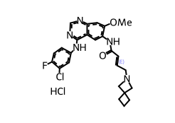 COc1cc2ncnc(Nc3ccc(F)c(Cl)c3)c2cc1NC(=O)/C=C/CN1CC2(CCC2)C1.Cl